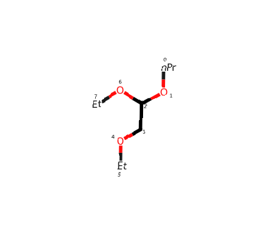 CCCO[C](COCC)OCC